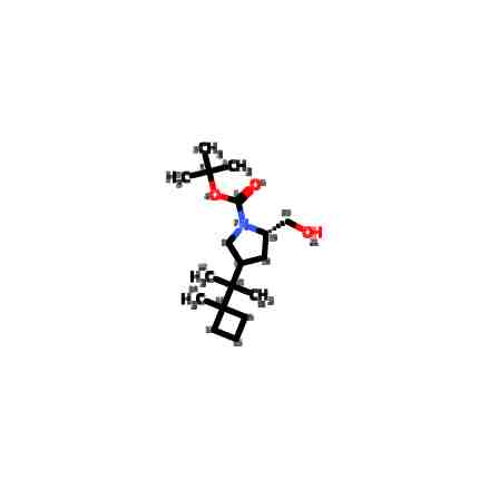 CC(C)(C)OC(=O)N1CC(C(C)(C)C2(C)CCC2)C[C@H]1CO